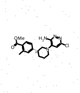 COC(=O)c1ccc([C@H]2CCCN(c3cc(Cl)nnc3N)C2)cc1C